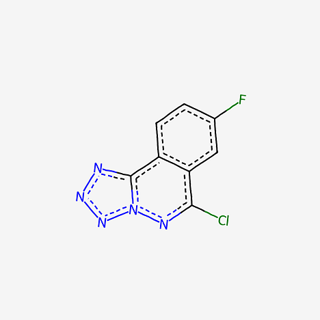 Fc1ccc2c(c1)c(Cl)nn1nnnc21